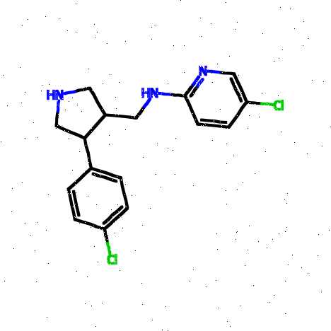 Clc1ccc(C2CNCC2CNc2ccc(Cl)cn2)cc1